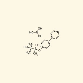 CC(C)(O)C(C)(C)Oc1ccc(-c2ccncc2)cc1.OB(O)O